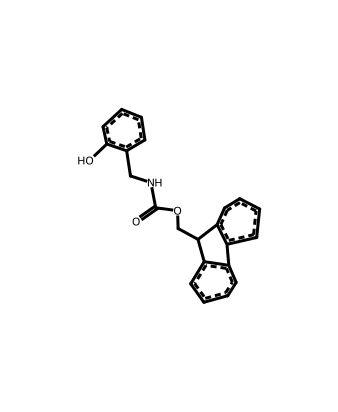 O=C(NCc1ccccc1O)OCC1c2ccccc2-c2ccccc21